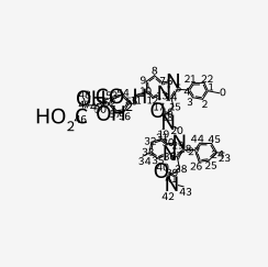 Cc1ccc(-c2nc3ccc(C)cn3c2CC(=O)N(C)C)cc1.Cc1ccc(-c2nc3ccc(C)cn3c2CC(=O)N(C)C)cc1.O=C(O)C(O)C(O)C(=O)O.c1ccccc1